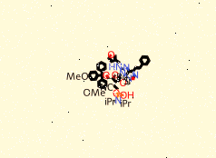 COc1ccc(C(OC[C@@H]2O[C@@H](n3c(NCc4ccoc4)nc4c(C=Cc5ccccc5)ncnc43)[C@H](O[Si](C)(C)C(C)(C)C)[C@@H]2C(C#N)COP(O)N(C(C)C)C(C)C)(c2ccccc2)c2ccc(OC)cc2)cc1